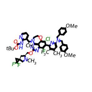 COc1ccc(CN(Cc2ccc(OC)cc2)c2cc(C)c(C(F)(F)F)c(-c3c(Cl)c4c5c(nc(OC[C@@H]6C[C@]7(CN6C)CC7(F)F)nc5c3F)N([C@H](C)c3cccnc3NC(=O)OC(C)(C)C)CCO4)n2)cc1